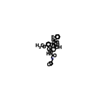 COc1ccc2c3c1O[C@@H]1[C@@H](NC(=O)/C=C/c4ccoc4)CC[C@]4(O)[C@H](C2)N(S(=O)(=O)c2ccccc2F)CC[C@@]314